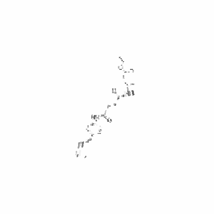 CCOC(=O)CC(C)NC(=O)CCC(=O)Nc1ccc(C=NN)cc1